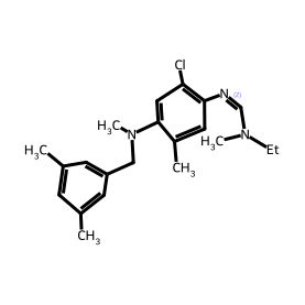 CCN(C)/C=N\c1cc(C)c(N(C)Cc2cc(C)cc(C)c2)cc1Cl